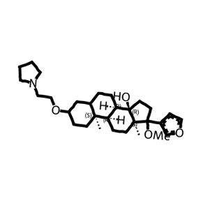 COC1(c2ccoc2)CC[C@@]2(O)[C@@H]3CCC4CC(OCCN5CCCC5)CC[C@]4(C)[C@@H]3CC[C@]12C